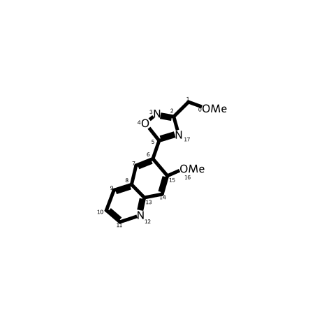 COCc1noc(-c2cc3cccnc3cc2OC)n1